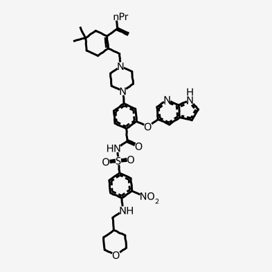 C=C(CCC)C1=C(CN2CCN(c3ccc(C(=O)NS(=O)(=O)c4ccc(NCC5CCOCC5)c([N+](=O)[O-])c4)c(Oc4cnc5[nH]ccc5c4)c3)CC2)CCC(C)(C)C1